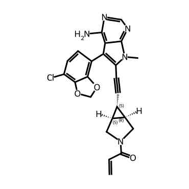 C=CC(=O)N1C[C@@H]2[C@@H](C#Cc3c(-c4ccc(Cl)c5c4OCO5)c4c(N)ncnc4n3C)[C@@H]2C1